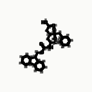 CC(CN(CC(=O)O)S(=O)(=O)Cc1ccccc1)NC(=O)OCC1c2ccccc2-c2ccccc21